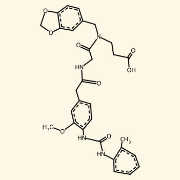 COc1cc(CC(=O)NCC(=O)N(CCC(=O)O)Cc2ccc3c(c2)OCO3)ccc1NC(=O)Nc1ccccc1C